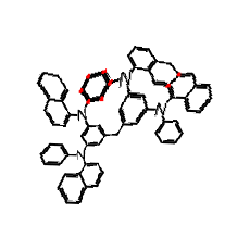 C1=Cc2c(cccc2N(c2ccccc2)c2cc(Cc3cc(N(c4ccccc4)c4cccc5c4=CCCC=5)cc(N(c4ccccc4)c4cccc5ccccc45)c3)cc(N(c3ccccc3)c3cccc4ccccc34)c2)CC1